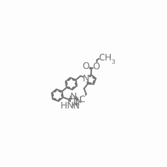 CCCc1ccc(C(=O)OCC)n1Cc1ccc(-c2ccccc2-c2nnn[nH]2)cc1